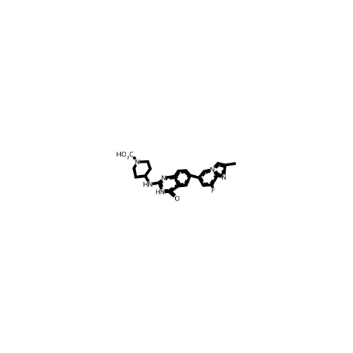 Cc1cn2cc(-c3ccc4nc(NC5CCN(C(=O)O)CC5)[nH]c(=O)c4c3)cc(F)c2n1